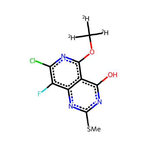 [2H]C([2H])([2H])Oc1nc(Cl)c(F)c2nc(SC)nc(O)c12